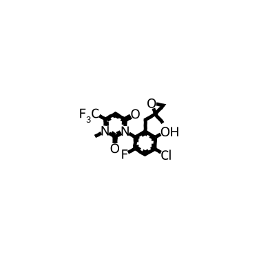 Cn1c(C(F)(F)F)cc(=O)n(-c2c(F)cc(Cl)c(O)c2CC2(C)CO2)c1=O